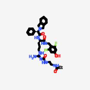 CCC(=O)NCCNC(=O)/N=C(/N)NCCC[C@@H](NC(=O)[C@H](c1ccccc1)N1Cc2ccccc2C1)C(=O)NCc1c(F)cc(O)cc1F